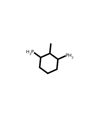 CC1C(P)CCCC1P